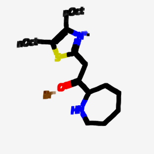 CCCCCCCCC1=C(CCCCCCCC)SC(CC(=O)C2CCCCCN2)=[N+]1.[Br-]